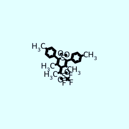 CC1=C(c2ccc(C)cc2)S(=O)(=O)C(c2ccc(C)cc2)=C(C)C1=C(C)S(=O)(=O)C(F)(F)F